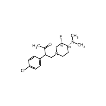 CC(=O)C(CN1CC[C@@H](N(C)C)[C@@H](F)C1)c1ccc(Cl)cc1